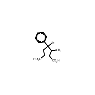 CCC(CCC(=O)O)(c1ccccc1)C(C)CC(=O)O